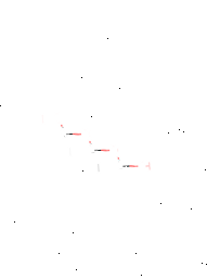 O[SiH2]O[SiH2]O[SiH2]O